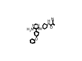 C=C(C#N)C(=O)N[C@H]1CC[C@H](Nc2ncnc(N)c2-c2ccc(Oc3ccccc3)cc2)CC1